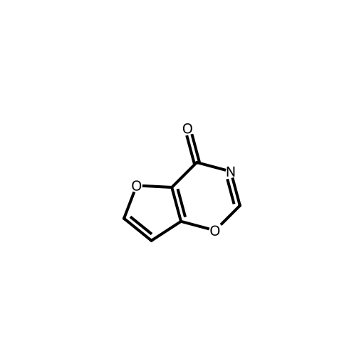 O=c1ncoc2ccoc12